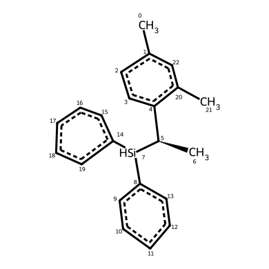 Cc1ccc([C@@H](C)[SiH](c2ccccc2)c2ccccc2)c(C)c1